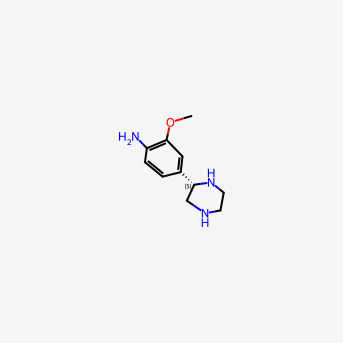 COc1cc([C@H]2CNCCN2)ccc1N